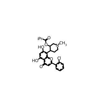 CC(C)C(=O)OC1CN(C)CCC1c1c(O)cc(O)c2c(=O)cc(-c3ccccc3Cl)oc12